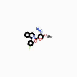 CC(C)(C)O[C@H]1CO[C@@H](C(=O)N2CCc3ccccc3[C@@H]2c2ccc(F)cc2)C[C@@H]1N=[N+]=[N-]